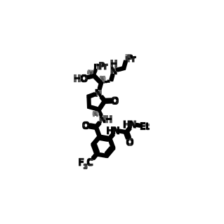 CCC[C@H](O)[C@H](CNCC(C)C)N1CC[C@H](NC(=O)c2cc(C(F)(F)F)ccc2NC(=O)NCC)C1=O